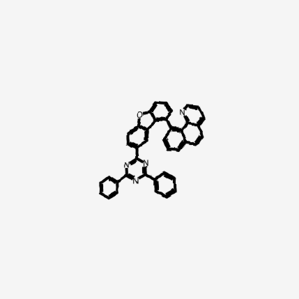 c1ccc(-c2nc(-c3ccccc3)nc(-c3ccc4oc5cccc(-c6cccc7ccc8cccnc8c67)c5c4c3)n2)cc1